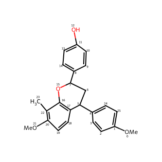 COc1ccc(C2CC(c3ccc(O)cc3)Oc3c2ccc(OC)c3C)cc1